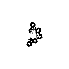 CC1(C)c2ccccc2-c2ccc(-c3cccc(-c4cccc(-n5c6ccccc6c6cc[nH]c65)n4)n3)cc21